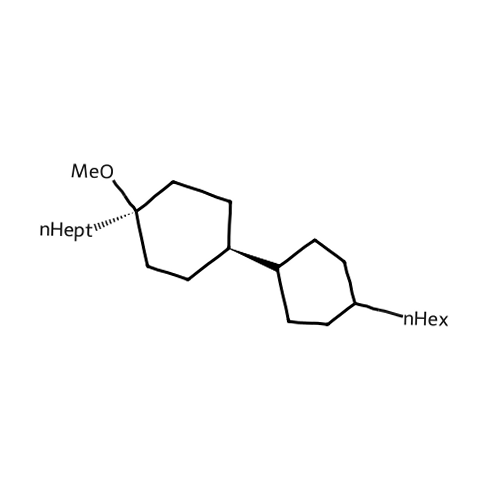 CCCCCCC[C@]1(OC)CC[C@@H](C2CCC(CCCCCC)CC2)CC1